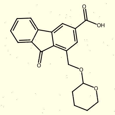 O=C(O)c1cc(COC2CCCCO2)c2c(c1)-c1ccccc1C2=O